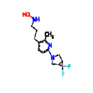 Cc1nc(N2CC3C(C2)C3(F)F)ccc1CCCNO